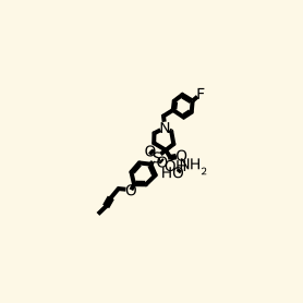 CC#CCOc1ccc(S(=O)(=O)C2(C(=O)O)CCN(Cc3ccc(F)cc3)CC2)cc1.NO